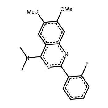 COc1cc2nc(-c3ccccc3F)nc(N(C)C)c2cc1OC